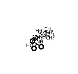 CC(C)(C)N(C(=O)Nc1cnn(CCO)c1NC(c1ccccc1)(c1ccccc1)c1ccccc1)C(C)(C)C